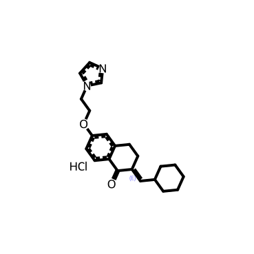 Cl.O=C1/C(=C/C2CCCCC2)CCc2cc(OCCn3ccnc3)ccc21